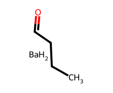 CCCC=O.[BaH2]